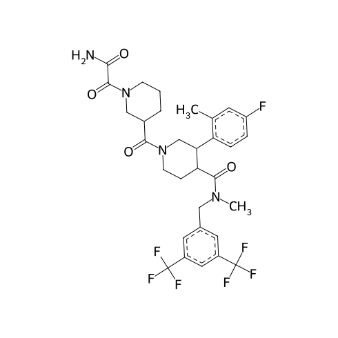 Cc1cc(F)ccc1C1CN(C(=O)C2CCCN(C(=O)C(N)=O)C2)CCC1C(=O)N(C)Cc1cc(C(F)(F)F)cc(C(F)(F)F)c1